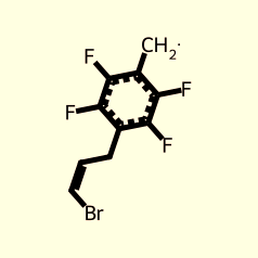 [CH2]c1c(F)c(F)c(C/C=C\Br)c(F)c1F